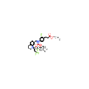 CCOC(=O)CCc1ccc(N(Cc2ccc3c(c2)N(CCC(F)(F)F)CCC3)C(=O)OC(C)(C)C)cc1F